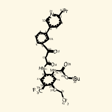 CC(C)c1ccc(-c2cccc(C(=O)CC(=O)Nc3cc(C(F)(F)F)c(OCC(F)(F)F)cc3NC(=O)OC(C)(C)C)c2)cn1